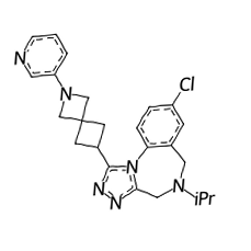 CC(C)N1Cc2cc(Cl)ccc2-n2c(nnc2C2CC3(C2)CN(c2cccnc2)C3)C1